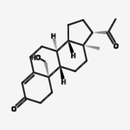 CC(=O)[C@H]1CC[C@H]2[C@@H]3CCC4=CC(=O)CC[C@]4(CO)[C@H]3CC[C@]12C